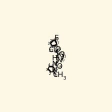 Cc1cccc(NC(=O)N2CCOC(COc3cc(F)ccc3Cl)C2)n1